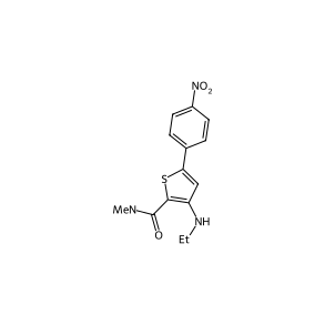 CCNc1cc(-c2ccc([N+](=O)[O-])cc2)sc1C(=O)NC